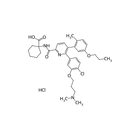 CCCOc1ccc(C)c(-c2ccc(C(=O)NC3(C(=O)O)CCCCC3)nc2-c2ccc(Cl)c(OCCCN(C)C)c2)c1.Cl